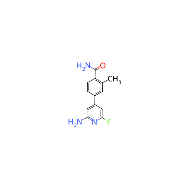 Cc1cc(-c2cc(N)nc(F)c2)ccc1C(N)=O